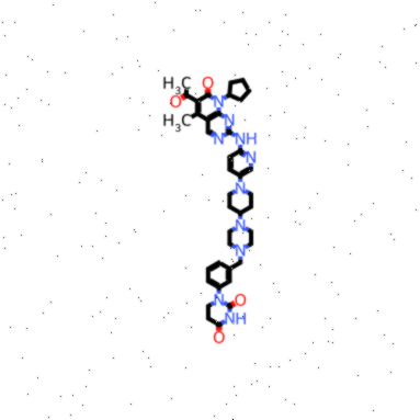 CC(=O)c1c(C)c2cnc(Nc3ccc(N4CCC(N5CCN(Cc6cccc(N7CCC(=O)NC7=O)c6)CC5)CC4)cn3)nc2n(C2CCCC2)c1=O